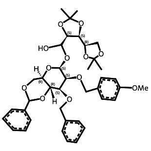 COc1ccc(CO[C@@H]2[C@H](OC(O)[C@H]3OC(C)(C)O[C@H]3[C@H]3COC(C)(C)O3)O[C@@H]3COC(c4ccccc4)O[C@H]3[C@@H]2OCc2ccccc2)cc1